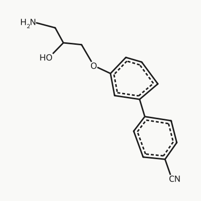 N#Cc1ccc(-c2cccc(OCC(O)CN)c2)cc1